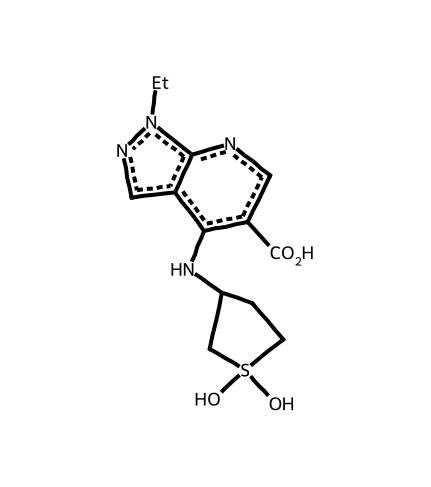 CCn1ncc2c(NC3CCS(O)(O)C3)c(C(=O)O)cnc21